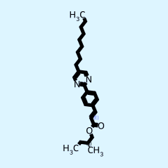 CCCCCCCCCc1cnc(-c2ccc(/C=C/C(=O)OC[C@H](C)CC)cc2)nc1